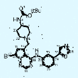 CC(C)(C)OC(=O)NC1CCN(Cc2cc(Br)n3ncnc(Nc4cccc(-c5cnco5)c4)c23)CC1